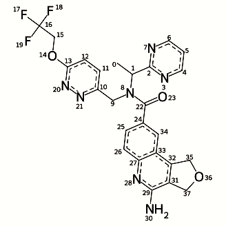 CC(c1ncccn1)N(Cc1ccc(OCC(F)(F)F)nn1)C(=O)c1ccc2nc(N)c3c(c2c1)COC3